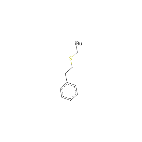 CCC(C)CSCCc1ccccc1